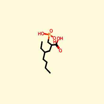 CCCCC(CC)CC(CP(=O)(O)O)C(=O)O